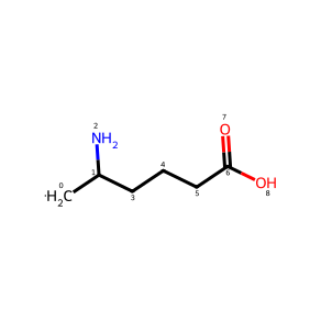 [CH2]C(N)CCCC(=O)O